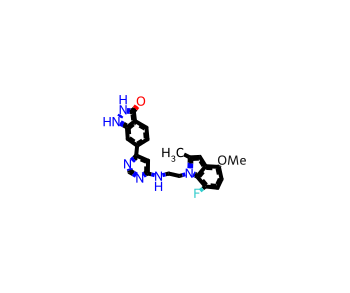 COc1ccc(F)c2c1cc(C)n2CCNc1cc(-c2ccc3c(=O)[nH][nH]c3c2)ncn1